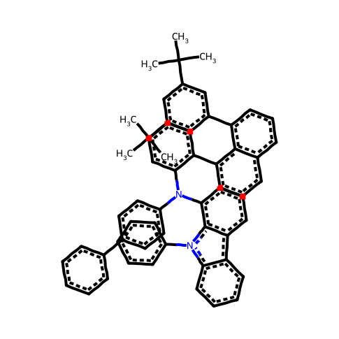 CC(C)(C)c1cc(-c2cccc3cccc(-c4ccccc4N(c4ccc(-c5ccccc5)cc4)c4cccc5c6ccccc6n(-c6ccccc6)c45)c23)cc(C(C)(C)C)c1